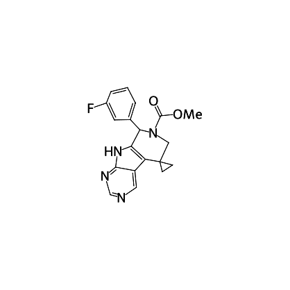 COC(=O)N1CC2(CC2)c2c([nH]c3ncncc23)C1c1cccc(F)c1